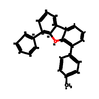 Cc1ccc(-c2cccc3c2oc2c(-c4ccccc4)cccc23)cc1